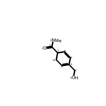 CNC(=O)C1C=CC(CO)=CC1